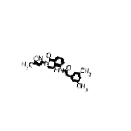 Cc1cc(C)cc(CC(=O)Nc2cccc3c(=O)n(-c4cc(C)on4)ccc23)c1